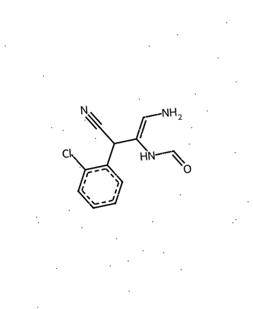 N#CC(C(=CN)NC=O)c1ccccc1Cl